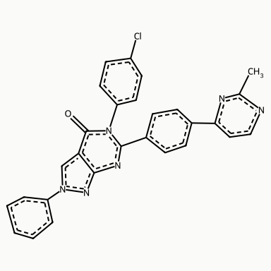 Cc1nccc(-c2ccc(-c3nc4nn(-c5ccccc5)cc4c(=O)n3-c3ccc(Cl)cc3)cc2)n1